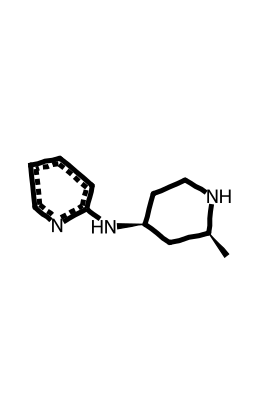 C[C@H]1C[C@@H](Nc2ccccn2)CCN1